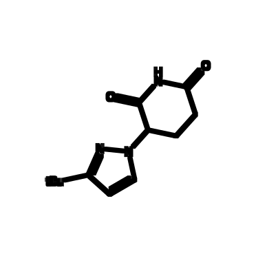 CC(C)(C)c1ccn(C2CCC(=O)NC2=O)n1